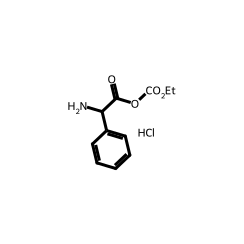 CCOC(=O)OC(=O)C(N)c1ccccc1.Cl